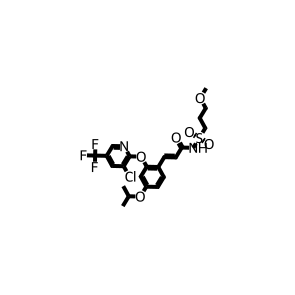 COCCCS(=O)(=O)NC(=O)C=Cc1ccc(OC(C)C)cc1Oc1ncc(C(F)(F)F)cc1Cl